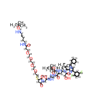 CC(C)(C)OCNCCCCCNC(=O)CCOCCOCCOCCOCCSC1CC(=O)N(CC(=O)NCCNC(=O)[C@H](CCN(C(=O)CO)[C@@H](c2nc(-c3cc(F)ccc3F)cn2Cc2ccccc2)C(C)(C)C)NC(=O)OC(C)(C)C)C1=O